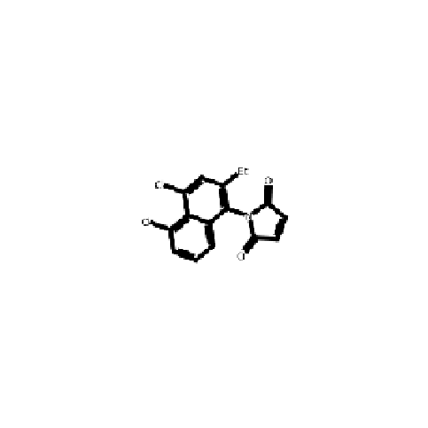 CCc1cc(Cl)c2c(Cl)cccc2c1N1C(=O)C=CC1=O